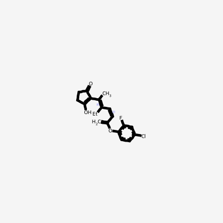 C=C(/C=C\C(CC)=C(/C)C1=C(O)CCC1=O)Oc1ccc(Cl)cc1F